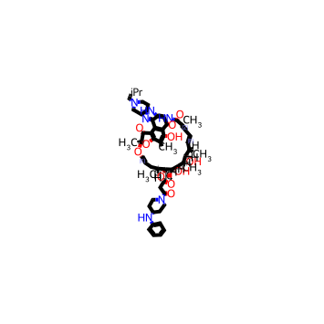 C/C1=C/C=C/[C@H](C)[C@H](O)[C@@H](C)[C@@H](O)[C@@H](C)[C@H](OC(=O)CC(=O)N2CCC(Nc3ccccc3)CC2)[C@H](C)C/C=C/O[C@@]2(C)Oc3c(C)c(O)c4c(c3C2=O)C2=NC3(CCN(CC(C)C)CC3)NC2=C(NC1=O)C4=O